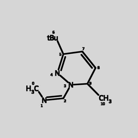 C/N=C\N1N=C(C(C)(C)C)C=CC1C